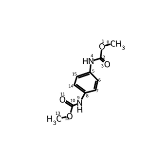 COC(=O)Nc1ccc(NC(=O)OC)cc1